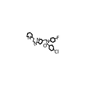 CN(CCc1ccccn1)c1ccc(CN(C(=O)c2ccc(Cl)cc2)c2ccc(F)cc2)cn1